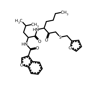 CCCCC(NC(=O)C(CC(C)C)NC(=O)c1coc2ccccc12)C(=O)CSCc1ccco1